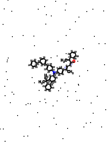 C=c1/c(=C\C=C(/C)c2ccc(N(c3ccc(-c4cccc(-c5ccccc5)c4)cc3)c3ccc4c(c3)C(C)(C)c3ccccc3-4)cc2)oc2ccccc12